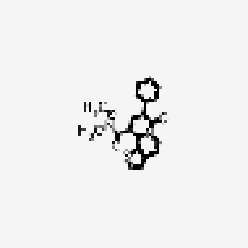 CON(C)C(=O)c1cc(-c2ccccc2)c(=O)n2ccc3ccsc3c12